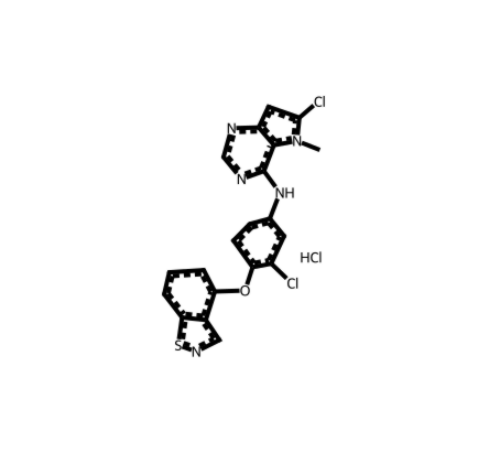 Cl.Cn1c(Cl)cc2ncnc(Nc3ccc(Oc4cccc5sncc45)c(Cl)c3)c21